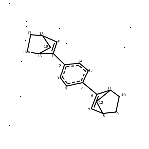 C1=C(c2ccc(C3=CC4CCC3C4)cc2)C2CCC1C2